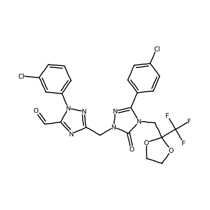 O=Cc1nc(Cn2nc(-c3ccc(Cl)cc3)n(CC3(C(F)(F)F)OCCO3)c2=O)nn1-c1cccc(Cl)c1